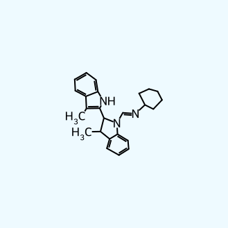 Cc1c(C2C(C)c3ccccc3N2/C=N/C2CCCCC2)[nH]c2ccccc12